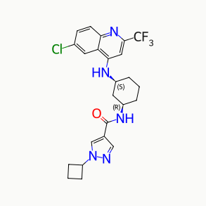 O=C(N[C@@H]1CCC[C@H](Nc2cc(C(F)(F)F)nc3ccc(Cl)cc23)C1)c1cnn(C2CCC2)c1